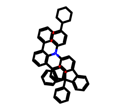 c1ccc(-c2cccc(-c3ccccc3)c2N(c2ccc(C3CCCCC3)cc2)c2ccc3c(c2)C(c2ccccc2)(c2ccccc2)c2ccccc2-3)cc1